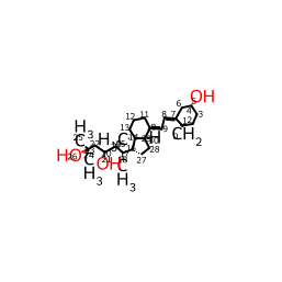 C=C1CC[C@@H](O)C/C1=C/C=C1\CCC[C@]2(C)[C@@H]([C@H](C)CC(O)CC(C)(C)O)CC[C@@H]12